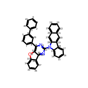 c1ccc(-c2cccc(-c3nc(-n4c5ccccc5c5cc6ccccc6cc54)nc4c3oc3ccccc34)c2)cc1